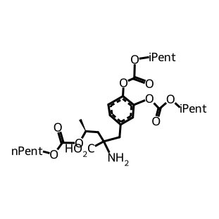 CCCCCOC(=O)O[C@@H](C)CC(N)(Cc1ccc(OC(=O)OC(C)CCC)c(OC(=O)OC(C)CCC)c1)C(=O)O